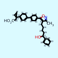 Cc1noc(-c2ccc(-c3ccc(C4(CC(=O)O)CC4)cc3)cc2)c1CCCCC(O)c1ccccc1